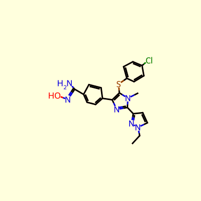 CCn1ccc(-c2nc(-c3ccc(/C(N)=N/O)cc3)c(Sc3ccc(Cl)cc3)n2C)n1